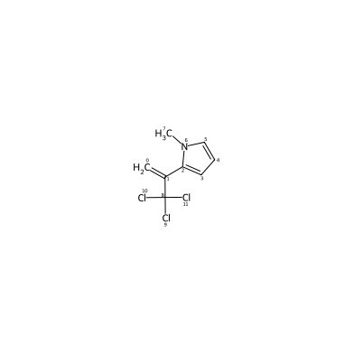 C=C(c1cccn1C)C(Cl)(Cl)Cl